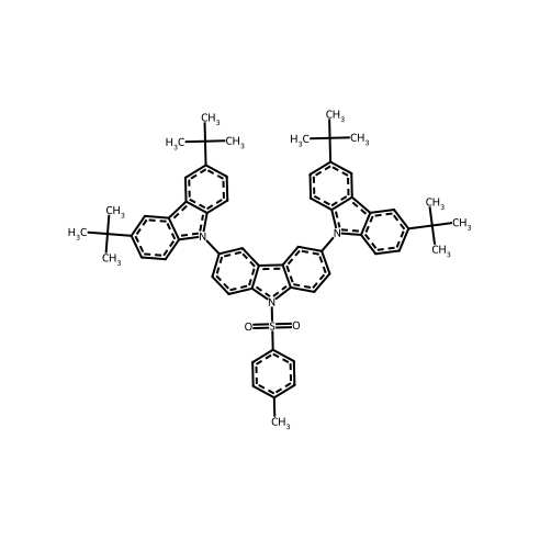 Cc1ccc(S(=O)(=O)n2c3ccc(-n4c5ccc(C(C)(C)C)cc5c5cc(C(C)(C)C)ccc54)cc3c3cc(-n4c5ccc(C(C)(C)C)cc5c5cc(C(C)(C)C)ccc54)ccc32)cc1